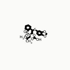 CC(C)CN1C(OC(=O)O)=C(Sc2ccc3c(c2)OCO3)c2ccccc2S1(=O)=O